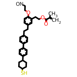 C=C(C)C(=O)OCCc1cc(CCc2ccc(-c3ccc(C4CCC(S)CC4)cc3)cc2)ccc1OCCN=O